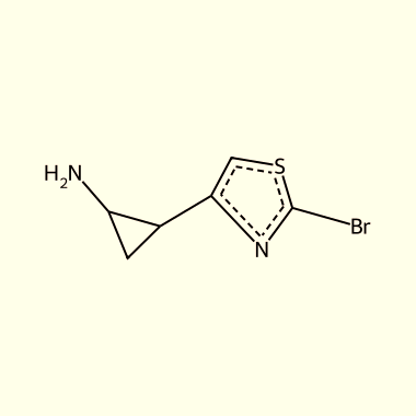 NC1CC1c1csc(Br)n1